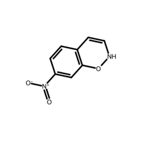 O=[N+]([O-])c1ccc2c(c1)ONC=C2